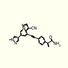 C=C(C(N)=O)c1ccc(C#Cc2cc(-c3cnn(C)c3)cn3ncc(C#N)c23)cc1